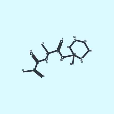 C=C(C)C(=O)OC(C)C(=O)OC1(C)CSCCS1